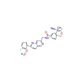 COc1c(F)cccc1-c1ccc2cnc(CNC(=O)c3ccc4c(c3)[C@](C)(C#N)COC4)cc2n1